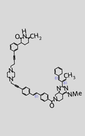 C=C1CCC(c2cccc(C#CCCN3CCN(CC#Cc4ccc(/C=C/c5ccc(C(=O)N6CCc7c(nc(C(/C=C8/C=CC=CC8)=C/C)nc7NC)C6)cc5)cc4)CC3)c2)C(=O)N1